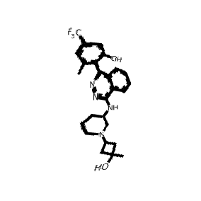 Cc1cc(C(F)(F)F)cc(O)c1-c1nnc(NC2CCCN(C3CC(C)(O)C3)C2)c2ccccc12